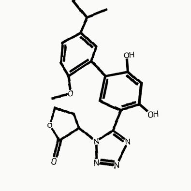 COc1ccc(C(C)C)cc1-c1cc(-c2nnnn2C2CCOC2=O)c(O)cc1O